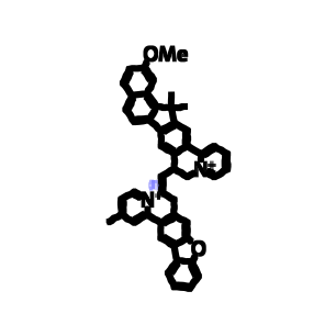 COc1ccc2ccc3c(c2c1)C(C)(C)c1cc2c(cc1-3)C(/C=C1\Cc3cc4oc5ccccc5c4cc3-c3cc(C)cc[n+]31)C[n+]1ccccc1-2